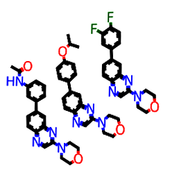 CC(=O)Nc1cccc(-c2ccc3ncc(N4CCOCC4)nc3c2)c1.CC(C)Oc1ccc(-c2ccc3ncc(N4CCOCC4)nc3c2)cc1.Fc1ccc(-c2ccc3ncc(N4CCOCC4)nc3c2)cc1F